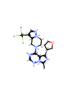 Cc1nc([C@H]2CCOC2)c2c(N3CCn4ncc(C(F)(F)F)c4C3)ncnn12